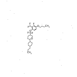 CCCCOc1ccc(OC(F)(F)C2CCC(C3CCC(CCC)CC3)OC2)c(C(F)F)c1F